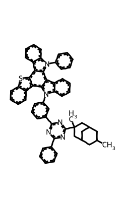 CC1CC2CC(C1)CC(C)(c1nc(-c3ccccc3)nc(-c3cccc(-n4c5ccccc5c5c6c(c7ccccc7n6-c6ccccc6)c6sc7ccccc7c6c54)c3)n1)C2